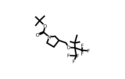 CC(C)(C)OC(=O)N1CCC(COC(C(C)(C)C)(C(F)(F)F)C(F)(F)F)C1